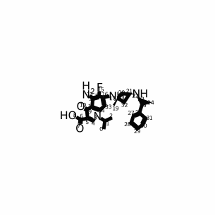 CC(C)n1cc(C(=O)O)c(=O)c2c(N)c(F)c(N[C@]3(C)C[C@H](N[C@@H]4CC4c4ccccc4)C3)cc21